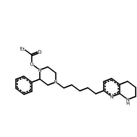 CCC(=O)ON1CCN(CCCCCc2ccc3c(n2)NCCC3)CC1c1ccccc1